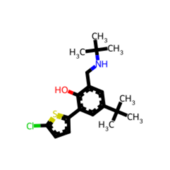 CC(C)(C)NCc1cc(C(C)(C)C)cc(-c2ccc(Cl)s2)c1O